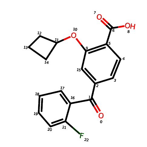 O=C(c1ccc(C(=O)O)c(OC2CCC2)c1)c1ccccc1F